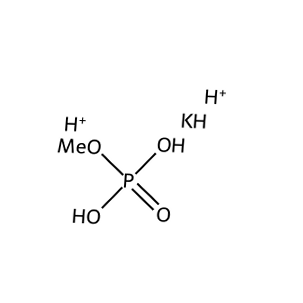 COP(=O)(O)O.[H+].[H+].[KH]